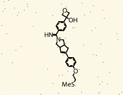 CSCCOc1ccc(C2=CC3CN(C(=N)c4ccc(C5(O)COC5)cc4)CC3C2)cc1